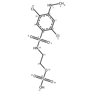 CNc1cc(Cl)c(S(=O)(=O)NCCOS(=O)(=O)O)cc1Cl